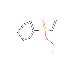 C=CP(=O)(OCC)c1ccccc1